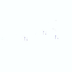 Fc1ccc(-n2c3ccccc3c3c(N(c4ccccc4)c4cccc5c6ccccc6n(-c6ccccc6)c45)cccc32)cc1